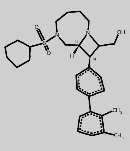 Cc1cccc(-c2ccc([C@@H]3C(CO)N4CCCCN(S(=O)(=O)C5CCCCC5)C[C@@H]34)cc2)c1C